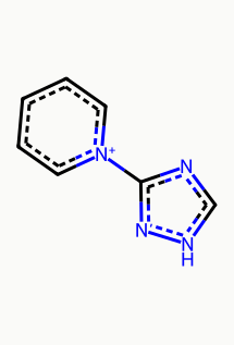 c1cc[n+](-c2nc[nH]n2)cc1